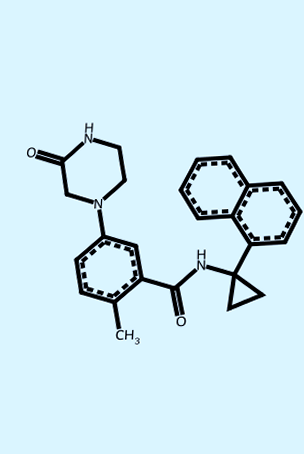 Cc1ccc(N2CCNC(=O)C2)cc1C(=O)NC1(c2cccc3ccccc23)CC1